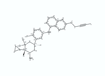 CC#CCOc1cnc2c(Nc3cnc(F)c([C@]4(C)C[N+]([O-])([O-])[C@@](C)(C5CC5)C(N)S4)c3)nccc2n1